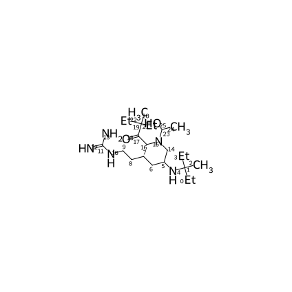 CCC(C)(CC)NC(CCCCNC(=N)N)CN(CC(=O)C(C)(CC)CC)C(C)O